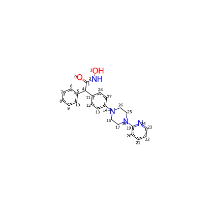 O=C(NO)C(c1ccccc1)c1ccc(N2CCN(c3ccccn3)CC2)cc1